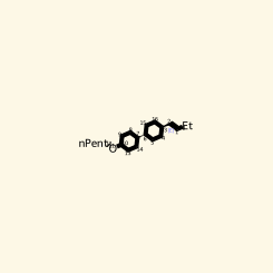 CC/C=C/[C@H]1CC[C@H](C2CCC(OCCCCC)CC2)CC1